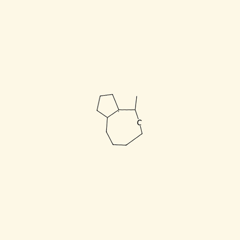 CC1CCCCCC2CCC[C]12